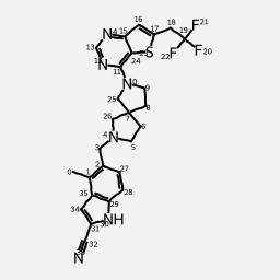 Cc1c(CN2CCC3(CCN(c4ncnc5cc(CC(F)(F)F)sc45)C3)C2)ccc2[nH]c(C#N)cc12